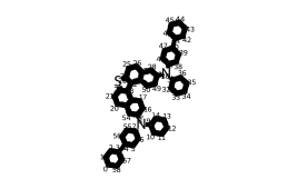 c1ccc(-c2ccc(N(c3ccccc3)c3ccc4c(ccc5sc6ccc7cc(N(c8ccccc8)c8ccc(-c9ccccc9)cc8)ccc7c6c54)c3)cc2)cc1